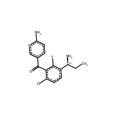 CC[C@H](N)c1ccc(Cl)c(C(=O)c2ccc(N)nc2)c1F